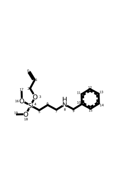 C=CCO[Si](CCCNCc1ccccc1)(OC)OC